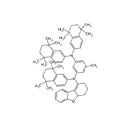 Cc1cc(N(C2=C3c4ccccc4OC3CCC2)c2ccc3c(c2)C(C)(C)CCC3(C)C)cc(N(c2ccc3c(c2)C(C)(C)CCC3(C)C)c2ccc3c(c2)C(C)(C)CCC3(C)C)c1